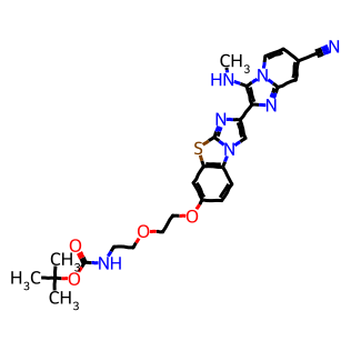 CNc1c(-c2cn3c(n2)sc2cc(OCCOCCNC(=O)OC(C)(C)C)ccc23)nc2cc(C#N)ccn12